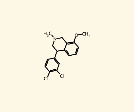 COc1cccc2c1CN(C)CC2c1ccc(Cl)c(Cl)c1